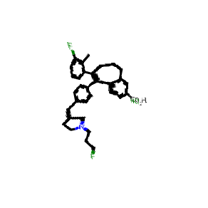 Cc1c(F)cccc1C1=C(c2ccc(CC3CCN(CCCF)C3)cc2)c2ccc(C(=O)O)cc2CCC1.Cl